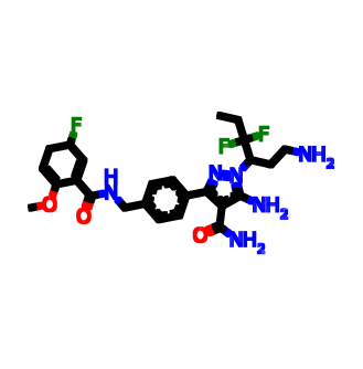 CCC(F)(F)C(CCN)n1nc(-c2ccc(CNC(=O)C3=CC(F)CC=C3OC)cc2)c(C(N)=O)c1N